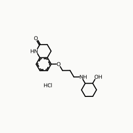 Cl.O=C1CCc2c(cccc2OCCCNC2CCCCC2O)N1